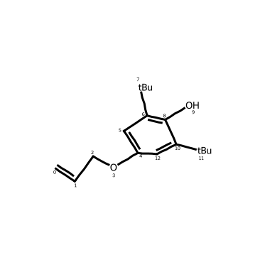 C=CCOc1cc(C(C)(C)C)c(O)c(C(C)(C)C)c1